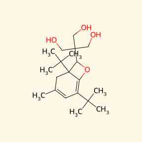 CC1=CC(C(C)(C)C)=C2OC(C(CO)(CO)CO)C2(C(C)(C)C)C1